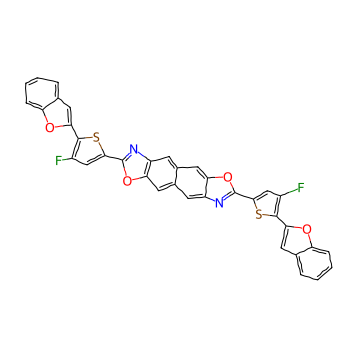 Fc1cc(-c2nc3cc4cc5oc(-c6cc(F)c(-c7cc8ccccc8o7)s6)nc5cc4cc3o2)sc1-c1cc2ccccc2o1